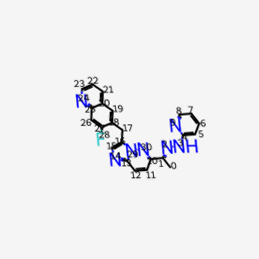 CC(=NNc1ccccn1)c1ccc2ncc(Cc3cc4cccnc4cc3F)n2n1